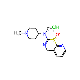 CN1CCC(N(C)C2=NCc3cccnc3[S+]2[O-])CC1.Cl